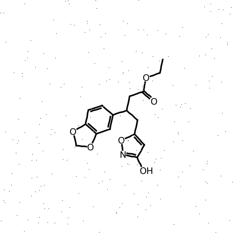 CCOC(=O)CC(Cc1cc(O)no1)c1ccc2c(c1)OCO2